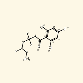 CC(CP)CC(C)(C)CC(=O)c1c(Cl)cc(Cl)cc1Cl